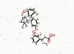 CC[C@@H](CC(=O)O)c1cccc(OCc2ccc(-c3cc(OC)ccc3F)c([C@H]3CCCC3(C)C)c2)c1F